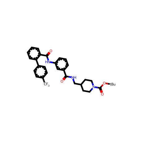 CC(C)(C)OC(=O)N1CCC(CNC(=O)c2cccc(NC(=O)c3ccccc3-c3ccc(C(F)(F)F)cc3)c2)CC1